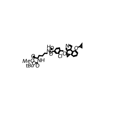 COC(=O)C(CCCCNS(=O)(=O)c1ccc(COC2(c3cnccc3-c3ccccc3OC3CC3)CC2)c(Cl)c1)NC(=O)OC(C)(C)C